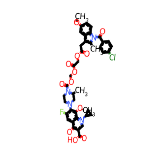 COc1ccc2c(c1)c(CC(=O)OCC(=O)OCOC(=O)N1CCN(c3c(F)cc4c(=O)c(C(=O)O)cn(C5CC5)c4c3OC)CC1C)c(C)n2C(=O)c1ccc(Cl)cc1